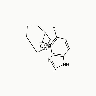 COC1(c2c(F)ccc3[nH]nnc23)C2CCCC1CNC2